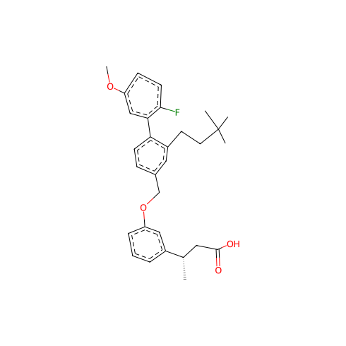 COc1ccc(F)c(-c2ccc(COc3cccc([C@@H](C)CC(=O)O)c3)cc2CCC(C)(C)C)c1